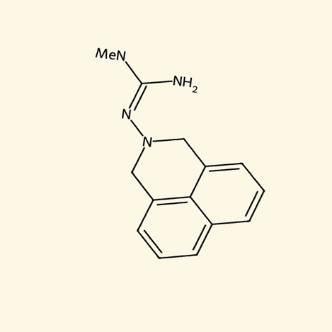 CNC(N)=NN1Cc2cccc3cccc(c23)C1